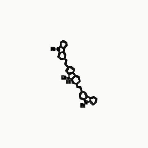 CCn1c2c(c3ccccc31)=CC(/C=C/c1ccc3c(c1)C(CC)(CC)C1=CC(/C=C/c4ccc5c(c4)c4ccccc4n5CC)CC=C13)CC=2